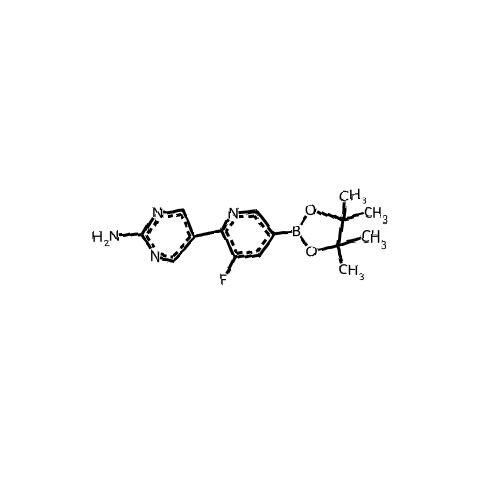 CC1(C)OB(c2cnc(-c3cnc(N)nc3)c(F)c2)OC1(C)C